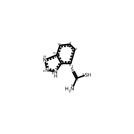 NC(=S)S.c1ccc2[nH]nnc2c1